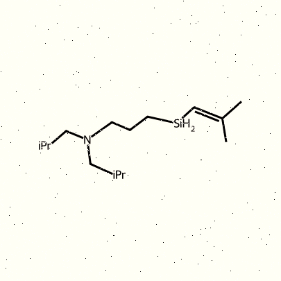 CC(C)=C[SiH2]CCCN(CC(C)C)CC(C)C